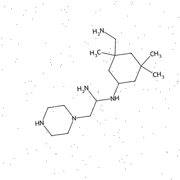 CC1(C)CC(NC(N)CN2CCNCC2)CC(C)(CN)C1